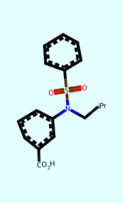 CC(C)CN(c1cccc(C(=O)O)c1)S(=O)(=O)c1ccccc1